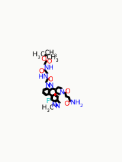 Cn1ncc2ccc(-c3cccc4c3c(C3CCN(C(=O)CCC(N)=O)CC3)nn4CC(=O)NCC(=O)NCC(=O)OC(C)(C)C)c(F)c21